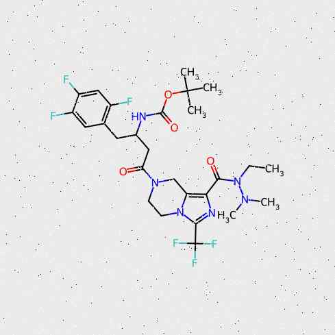 CCN(C(=O)c1nc(C(F)(F)F)n2c1CN(C(=O)CC(Cc1cc(F)c(F)cc1F)NC(=O)OC(C)(C)C)CC2)N(C)C